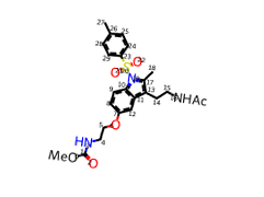 COC(=O)NCCOc1ccc2c(c1)c(CCNC(C)=O)c(C)n2S(=O)(=O)c1ccc(C)cc1